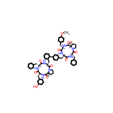 COc1ccc(C[C@@H]2NC(O)[C@H]3CCCN3C(=O)[C@H](Cc3ccccc3)NC(=O)[C@@H](Cc3ccc(-c4ccccc4C[C@@H]4NC(=O)[C@@H](Cc5ccccc5)NC(=O)[C@H](Cc5cccc(O)c5)NC(=O)[C@H]5CCCN5C4=O)cc3)NC2=O)cc1